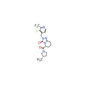 C[C@H]1CCN(C(=O)[C@@H]2CCCc3nn(Cc4ccnc(C(F)(F)F)c4F)c(=O)n32)C1